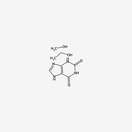 CCO.CO.O=c1[nH]c(=O)c2[nH]cnc2[nH]1